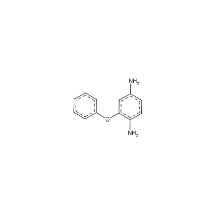 Nc1ccc(N)c(Oc2ccccc2)c1